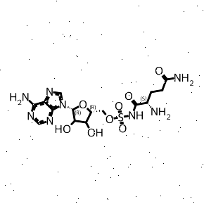 NC(=O)CC[C@H](N)C(=O)NS(=O)(=O)OC[C@H]1O[C@@H](n2cnc3c(N)ncnc32)C(O)C1O